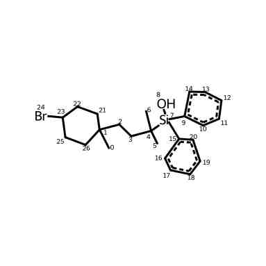 CC1(CCC(C)(C)[Si](O)(c2ccccc2)c2ccccc2)CCC(Br)CC1